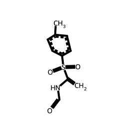 C=C(NC=O)S(=O)(=O)c1ccc(C)cc1